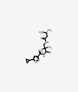 CCC(NC(=O)c1cc(C2CC2)on1)C(C)(C)CNC(=O)C[C@@H](C)N